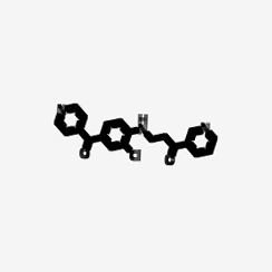 O=C(CCNc1ccc(C(=O)c2ccncc2)cc1Cl)c1cccnc1